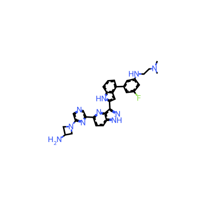 CN(C)CCNc1cc(F)cc(-c2cccc3[nH]c(-c4n[nH]c5ccc(-c6cncc(N7CC(N)C7)n6)nc45)cc23)c1